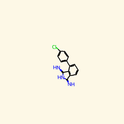 N=C1NC(=N)c2c1cccc2-c1ccc(Cl)cc1